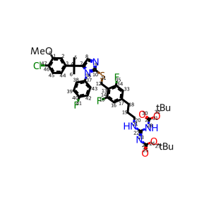 COc1cc(C(C)(C)c2cnc(SCc3c(F)cc(CCCNC(=NC(=O)OC(C)(C)C)NC(=O)OC(C)(C)C)cc3F)n2-c2ccc(F)cc2)ccc1Cl